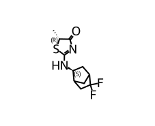 C[C@H]1SC(N[C@H]2CC3CC2CC3(F)F)=NC1=O